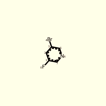 Fc1[c]c(Br)cnc1